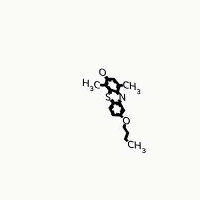 CCCCOc1ccc2sc3c(C)c(=O)cc(C)c-3nc2c1